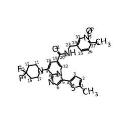 Cc1ccc(-c2cnc3c(N4CCC(F)(F)CC4)cc(C(=O)NCc4ccc(C)[n+]([O-])c4)cn23)s1